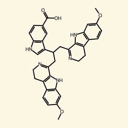 COc1ccc2c3c([nH]c2c1)C(CC(CC1=NCCc2c1[nH]c1cc(OC)ccc21)c1c[nH]c2ccc(C(=O)O)cc12)=NCC3